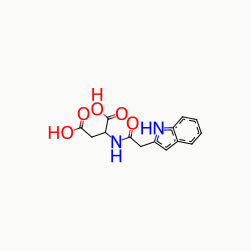 O=C(O)CC(NC(=O)Cc1cc2ccccc2[nH]1)C(=O)O